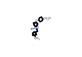 Cc1cccc(Cc2nc3cc(O[C@H]4CC[C@@H](C(=O)O)CC4)ccc3n2C(C)C)c1